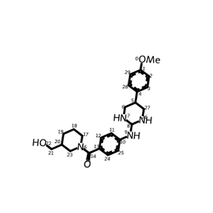 COc1ccc(C2CNC(Nc3ccc(C(=O)N4CCCC(CO)C4)cc3)NC2)cc1